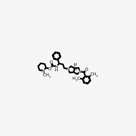 Cc1cccc(C)c1C(=O)N1CC2CN(CCC(NC(=O)OC3CCCCN3C)c3ccccc3)C[C@H]2C1